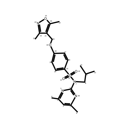 Cc1cc(C)nc(N(CC(C)C)S(=O)(=O)c2ccc(OCc3c(C)noc3C)cc2)n1